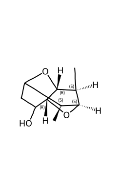 C[C@@H]1[C@H]2OC3CC(O)[C@H]2O[C@H]1[C@H]3C